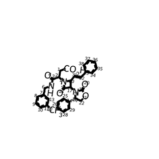 O=C(O)CC(C(=O)NCc1cccc(C(F)(F)F)c1)N1C(=O)C(N2C(=O)OC[C@@H]2c2ccccc2)C1C=Cc1ccccc1